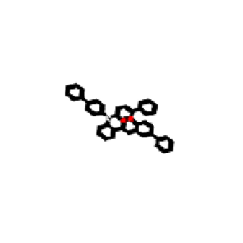 c1ccc(-c2ccc(N(c3ccc(-c4ccccc4)cc3)c3ccccc3-c3ccc4ccc(-c5ccccc5)cc4c3)cc2)cc1